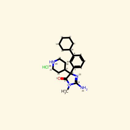 CN1C(=O)C(c2cccc(C3CCCCC3)c2)(C2CCNCC2)N=C1N.Cl